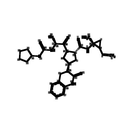 C=CC1C[C@]1(NC(=O)[C@@H]1C[C@@H](N2Cc3ccccc3NC2=O)CN1C(=O)[C@@H](NC(=O)OC1CCCC1)C(C)(C)C)C(=O)O